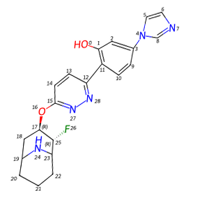 Oc1cc(-n2ccnc2)ccc1-c1ccc(O[C@@H]2CC3CCCC(N3)[C@H]2F)nn1